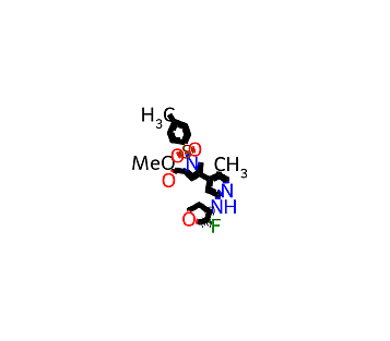 COC(=O)c1cc(-c2cc(N[C@H]3CCOC[C@@H]3F)ncc2C)cn1S(=O)(=O)c1ccc(C)cc1